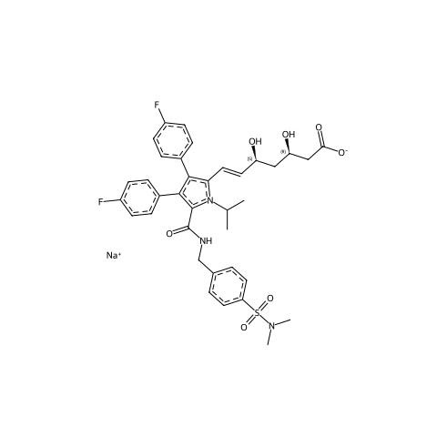 CC(C)n1c(C=C[C@@H](O)C[C@@H](O)CC(=O)[O-])c(-c2ccc(F)cc2)c(-c2ccc(F)cc2)c1C(=O)NCc1ccc(S(=O)(=O)N(C)C)cc1.[Na+]